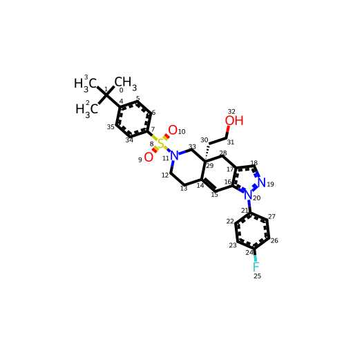 CC(C)(C)c1ccc(S(=O)(=O)N2CCC3=Cc4c(cnn4-c4ccc(F)cc4)C[C@]3(CCO)C2)cc1